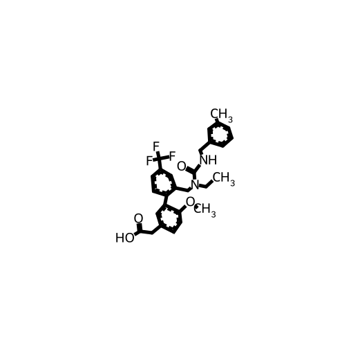 CCN(Cc1cc(C(F)(F)F)ccc1-c1cc(CC(=O)O)ccc1OC)C(=O)NCc1cccc(C)c1